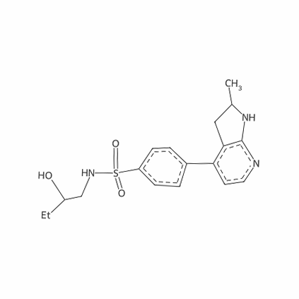 CCC(O)CNS(=O)(=O)c1ccc(-c2ccnc3c2CC(C)N3)cc1